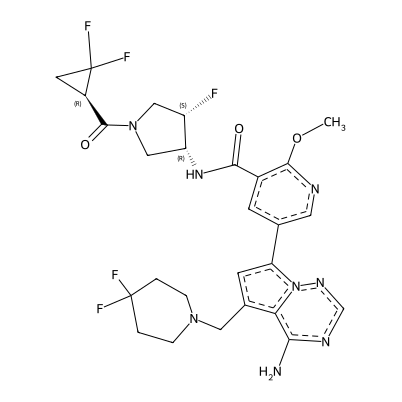 COc1ncc(-c2cc(CN3CCC(F)(F)CC3)c3c(N)ncnn23)cc1C(=O)N[C@@H]1CN(C(=O)[C@H]2CC2(F)F)C[C@@H]1F